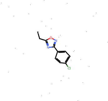 [CH2]Cc1nc(-c2ccc(Cl)cc2)no1